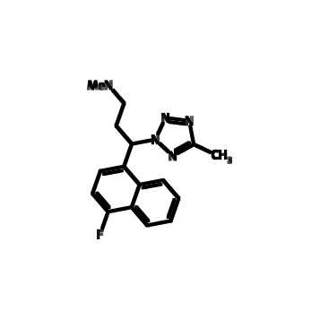 CNCCC(c1ccc(F)c2ccccc12)n1nnc(C)n1